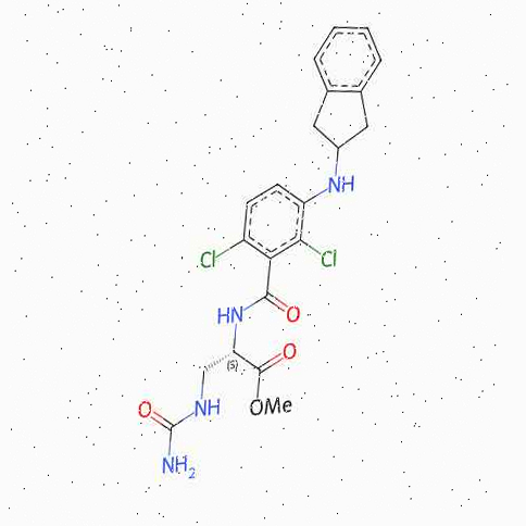 COC(=O)[C@H](CNC(N)=O)NC(=O)c1c(Cl)ccc(NC2Cc3ccccc3C2)c1Cl